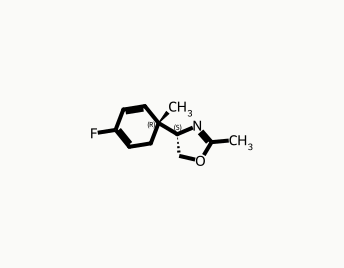 CC1=N[C@@H]([C@@]2(C)C=CC(F)=CC2)CO1